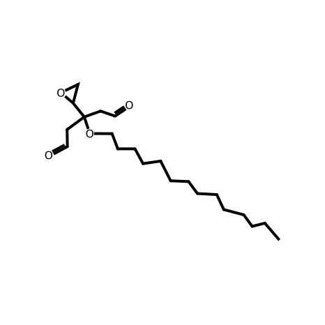 CCCCCCCCCCCCCCOC(CC=O)(CC=O)C1CO1